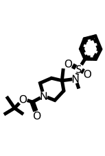 CN(C1(C)CCN(C(=O)OC(C)(C)C)CC1)S(=O)(=O)c1ccccc1